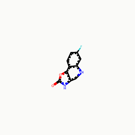 O=c1[nH]c2cnc3cc(F)ccc3c2o1